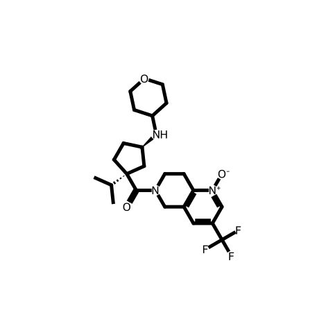 CC(C)[C@]1(C(=O)N2CCc3c(cc(C(F)(F)F)c[n+]3[O-])C2)CC[C@@H](NC2CCOCC2)C1